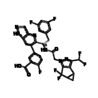 O=C(Cn1nc(C(F)F)c2c1C(F)(F)C1CC21)N[C@@H](Cc1cc(F)cc(F)c1)c1nc2cn[nH]c2cc1-c1ccc(F)c(C(=O)O)c1